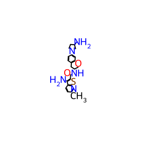 Cc1ccc2c(N)c(C(=O)NC3COc4cc(N5CCC(N)C5)ccc4C3)sc2n1